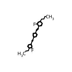 CCCCc1ccc(C#Cc2ccc(C#Cc3ccc(CCC)c(F)c3)cc2)c(F)c1